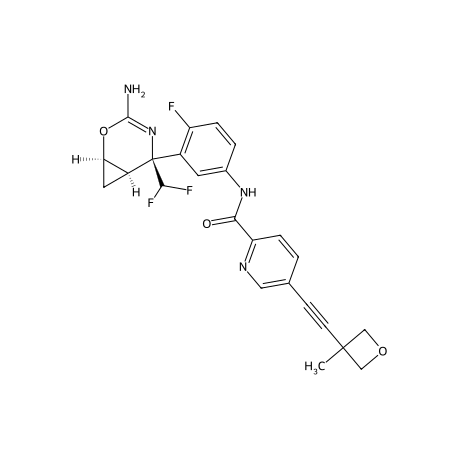 CC1(C#Cc2ccc(C(=O)Nc3ccc(F)c([C@@]4(C(F)F)N=C(N)O[C@@H]5C[C@@H]54)c3)nc2)COC1